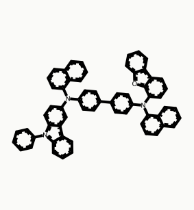 c1ccc(-n2c3ccccc3c3cc(N(c4ccc(-c5ccc(N(c6cccc7ccccc67)c6cccc7c6oc6ccccc67)cc5)cc4)c4cccc5ccccc45)ccc32)cc1